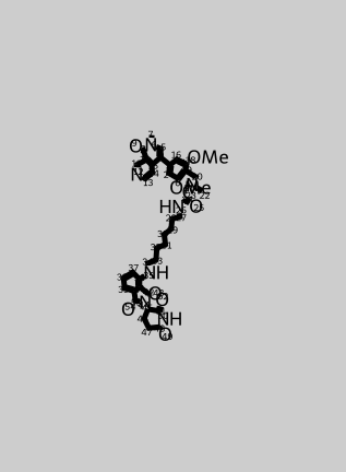 COc1cc(-c2cn(C)c(=O)c3cnccc23)cc(OC)c1CN(C)CC(=O)NCCCCCCCCNc1cccc2c1C(=O)N(C1CCC(=O)NC1=O)C2=O